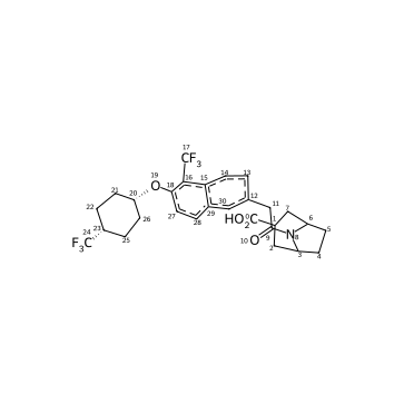 O=C(O)C1CC2CCC(C1)N2C(=O)Cc1ccc2c(C(F)(F)F)c(O[C@H]3CC[C@@H](C(F)(F)F)CC3)ccc2c1